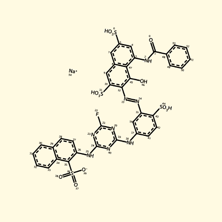 O=C(Nc1cc(S(=O)(=O)O)cc2cc(S(=O)(=O)O)c(N=Nc3cc(Nc4nc(F)nc(Nc5ccc6ccccc6c5S(=O)(=O)[O-])n4)ccc3S(=O)(=O)O)c(O)c12)c1ccccc1.[Na+]